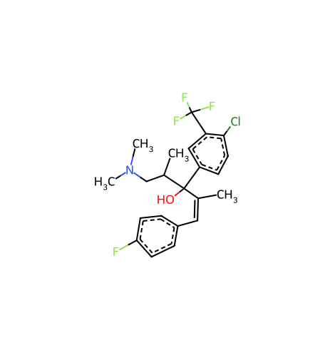 CC(=Cc1ccc(F)cc1)C(O)(c1ccc(Cl)c(C(F)(F)F)c1)C(C)CN(C)C